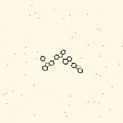 c1ccc(C2c3ccccc3-c3ccc(-c4ccc5c(c4)C(c4cccc6c(-c7ccc8c(c7)sc7ccccc78)cccc46)c4ccccc4-5)cc32)cc1